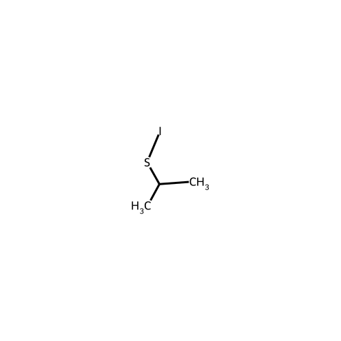 CC(C)SI